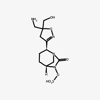 NCC1(CO)CC([C@@H]2CC[C@@H]3CN2C(=O)N3OS(=O)(=O)O)=NO1